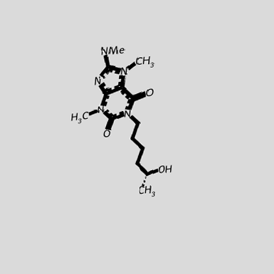 CNc1nc2c(c(=O)n(CCCC[C@@H](C)O)c(=O)n2C)n1C